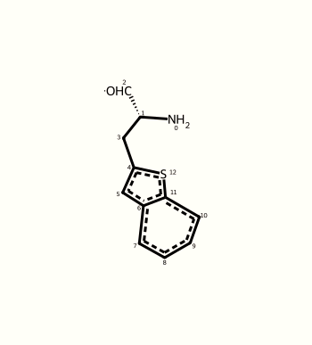 N[C@@H]([C]=O)Cc1cc2ccccc2s1